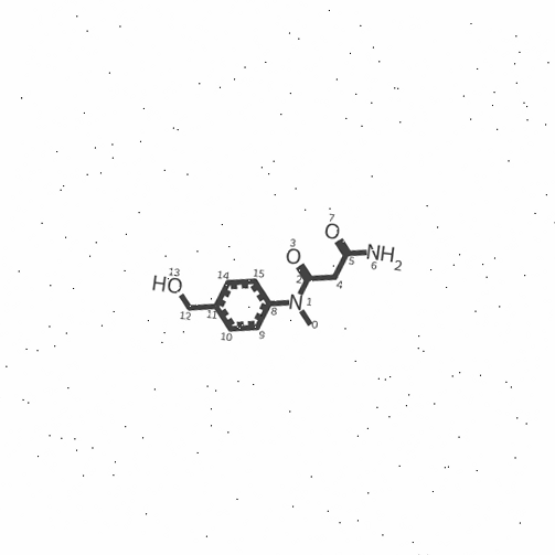 CN(C(=O)CC(N)=O)c1ccc(CO)cc1